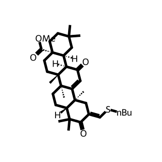 CCCCS/C=C1\C[C@]2(C)C3=CC(=O)[C@@H]4[C@@H]5CC(C)(C)CC[C@]5(C(=O)OC)CC[C@@]4(C)[C@]3(C)CC[C@H]2C(C)(C)C1=O